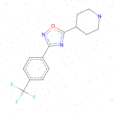 FC(F)(F)c1ccc(-c2noc(C3CC[N]CC3)n2)cc1